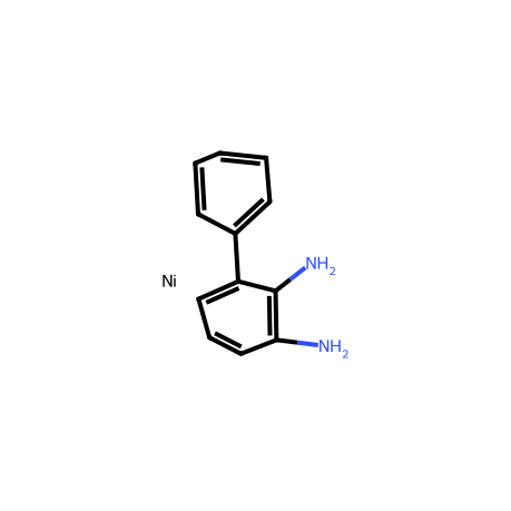 Nc1cccc(-c2ccccc2)c1N.[Ni]